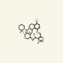 Cn1nnc(COc2ccc(Cl)c3c2C(CN2CCOCC2=O)N(C(=O)[C@@H]2CCCC[C@]2(C)C(=O)O)CC3)c1C(F)F